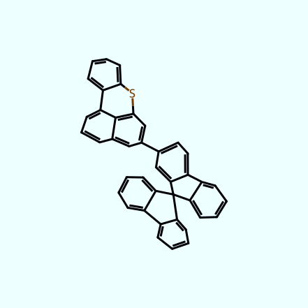 c1ccc2c(c1)Sc1cc(-c3ccc4c(c3)C3(c5ccccc5-c5ccccc53)c3ccccc3-4)cc3cccc-2c13